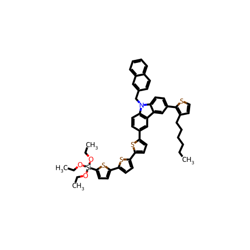 CCCCCCc1ccsc1-c1ccc2c(c1)c1cc(-c3ccc(-c4ccc(-c5ccc([Si](OCC)(OCC)OCC)s5)s4)s3)ccc1n2Cc1ccc2ccccc2c1